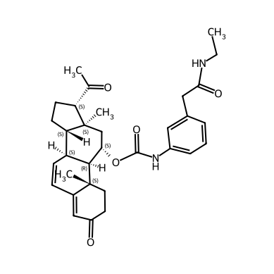 CCNC(=O)Cc1cccc(NC(=O)O[C@H]2C[C@]3(C)[C@@H](C(C)=O)CC[C@H]3[C@@H]3C=CC4=CC(=O)CC[C@@]4(C)[C@@H]32)c1